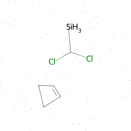 C1=CCC1.[SiH3]C(Cl)Cl